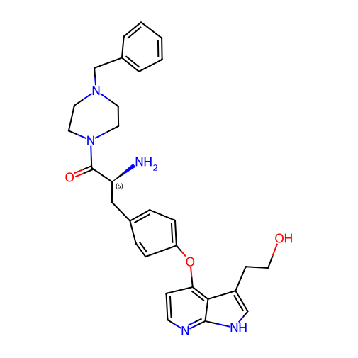 N[C@@H](Cc1ccc(Oc2ccnc3[nH]cc(CCO)c23)cc1)C(=O)N1CCN(Cc2ccccc2)CC1